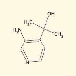 CC(C)(O)c1ccncc1N